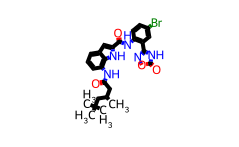 CC(CC(=O)Nc1cccc2cc(C(=O)Nc3ccc(Br)cc3-c3noc(=O)[nH]3)[nH]c12)CC(C)(C)C